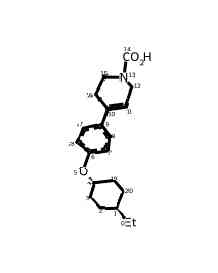 CC[C@H]1CC[C@H](Oc2ccc(C3=CCN(C(=O)O)CC3)cc2)CC1